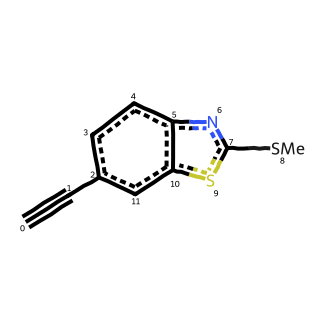 C#Cc1ccc2nc(SC)sc2c1